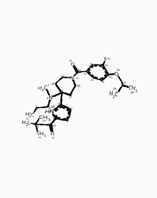 CCCN(C)C1(c2ccc(C(=O)C(C)(C)C)[nH]2)CCN(C(=O)c2ccc(OC(C)C)c(F)c2)CC1